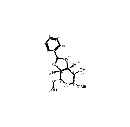 CO[C@@H]1O[C@H](CO)[C@@H]2OC(c3ccccc3)O[C@@H]2[C@H]1O